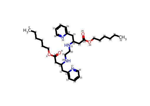 CCCCCCOC(=O)CC(Cc1ccccn1)NCCNC(CC(=O)OCCCCCC)Cc1ccccn1